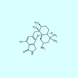 C[C@H]1CC[C@H]2C(C)(C)CC(N)C[C@]23Oc2c(cc(Cl)c4c2CNC4=O)C[C@]13C